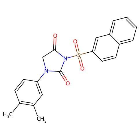 Cc1ccc(N2CC(=O)N(S(=O)(=O)c3ccc4ccccc4c3)C2=O)cc1C